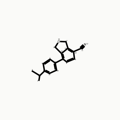 CC(C)c1ccc(-c2c[c]c(C#N)c3c2COC3)cc1